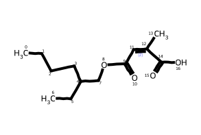 CCCCC(CC)COC(=O)/C=C(/C)C(=O)O